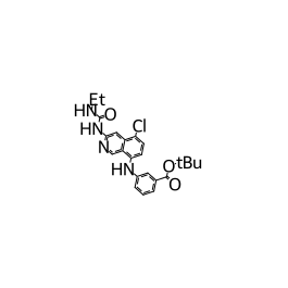 CCNC(=O)Nc1cc2c(Cl)ccc(Nc3cccc(C(=O)OC(C)(C)C)c3)c2cn1